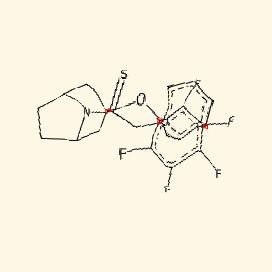 Fc1c(F)c(F)c(OC2CC3CCC(C2)N3C(=S)Cc2ccccc2)c(F)c1F